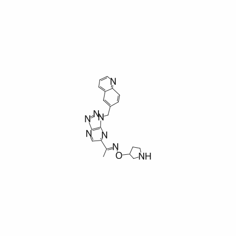 CC(=NOC1CCNC1)c1cnc2nnn(Cc3ccc4ncccc4c3)c2n1